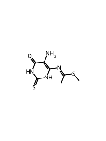 CS/C(C)=N/c1[nH]c(=S)[nH]c(=O)c1N